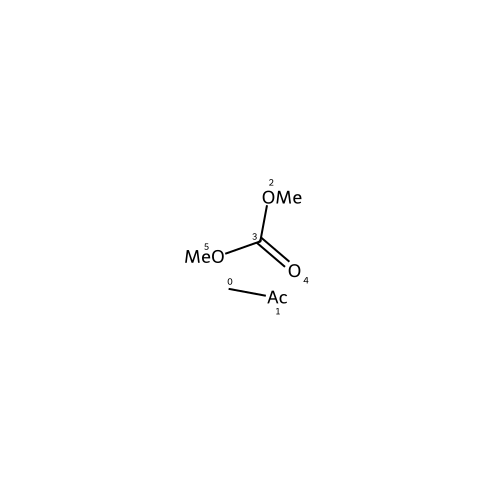 CC(C)=O.COC(=O)OC